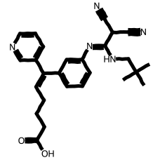 CC(C)(C)CNC(=Nc1cccc(/C(=C\CCCC(=O)O)c2cccnc2)c1)C(C#N)C#N